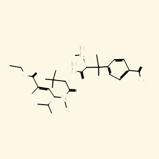 CCOC(=O)C(C)=C[C@H](C(C)C)N(C)C(=O)[C@@H](NC(=O)[C@@H](NC)C(C)(C)c1ccc(C(=O)O)cc1)C(C)(C)C